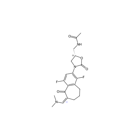 CC(=O)NC[C@H]1CN(c2cc(F)c3c(c2F)CCC/C(=C/N(C)C)C3=O)C(=O)O1